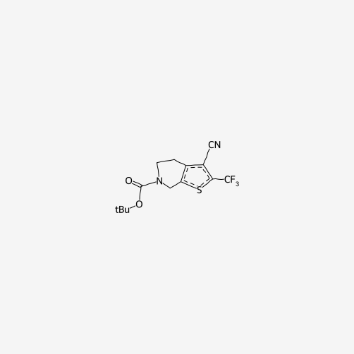 CC(C)(C)OC(=O)N1CCc2c(sc(C(F)(F)F)c2C#N)C1